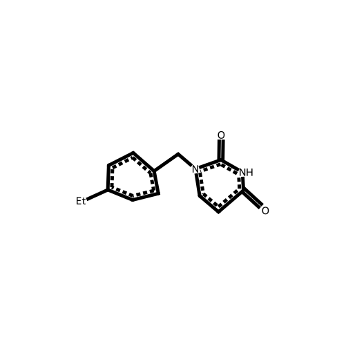 CCc1ccc(Cn2ccc(=O)[nH]c2=O)cc1